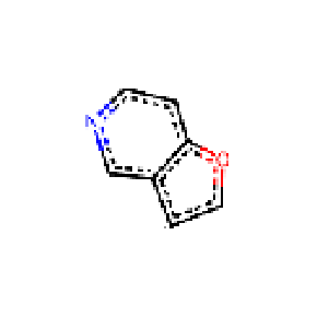 [c]1coc2ccncc12